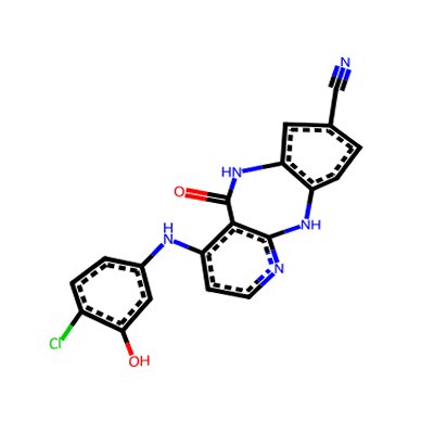 N#Cc1ccc2c(c1)NC(=O)c1c(Nc3ccc(Cl)c(O)c3)ccnc1N2